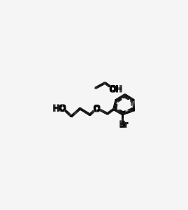 CCO.OCCCOCc1ccccc1Br